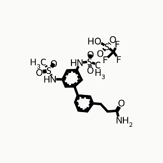 CS(=O)(=O)Nc1cc(NS(C)(=O)=O)cc(-c2cccc(CCC(N)=O)c2)c1.O=S(=O)(O)C(F)(F)F